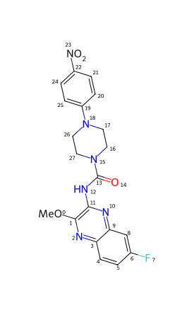 COc1nc2ccc(F)cc2nc1NC(=O)N1CCN(c2ccc([N+](=O)[O-])cc2)CC1